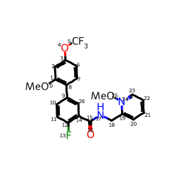 COc1cc(OC(F)(F)F)ccc1-c1ccc(F)c(C(=O)NCc2cccc[n+]2OC)c1